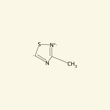 CC1=[N+]S[C]=N1